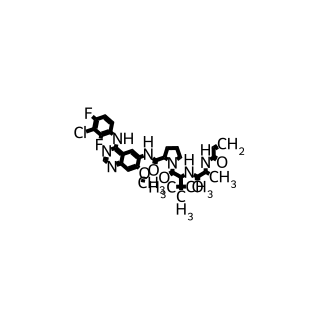 C=CC(=O)NC(C)C(=O)NC(C(=O)N1CCCC1C(=O)Nc1cc2c(Nc3ccc(F)c(Cl)c3F)ncnc2cc1OC)C(C)(C)C